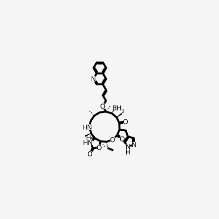 B[C@@H]1[C@@H](C)C(=O)C(Cc2cn[nH]c2)C(=O)O[C@H](CC)[C@@]2(C)OC(=O)N[C@@H]2[C@@H](C)NC[C@H](C)C[C@@]1(C)OC/C=C/c1cnc2ccccc2c1